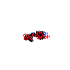 CCc1cccc2cc(O)cc(-c3ncc4c(N5CC6CCC(C5)N6)nc(OC[C@]56CCCN5[C@H](CN5CCC(COc7cc([C@H](C(=O)N8C[C@H](O)C[C@H]8C(=O)N[C@@H](C)c8ccc(-c9scnc9C)cc8)C(C)C)on7)CC5)CC6)nc4c3F)c12